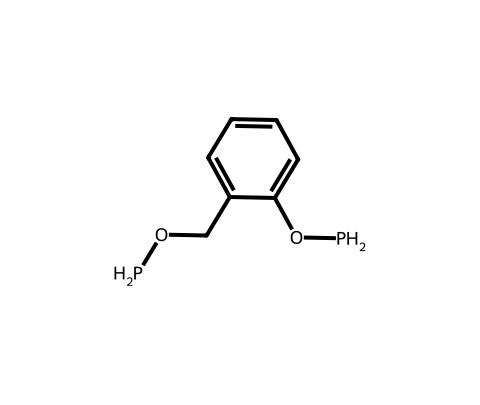 POCc1ccccc1OP